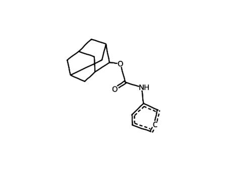 O=C(Nc1ccccc1)OC1C2CC3CC(C2)CC1C3